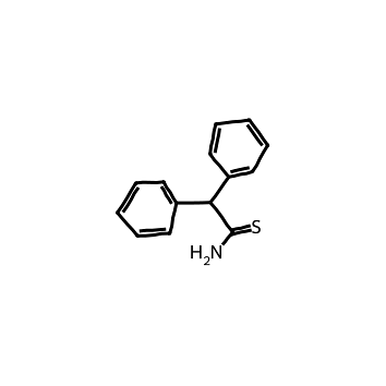 NC(=S)C(c1ccccc1)c1ccccc1